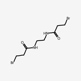 O=C(CCBr)NCCNC(=O)CCBr